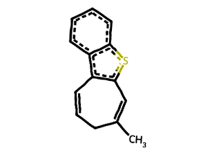 CC1=Cc2sc3ccccc3c2C=CC1